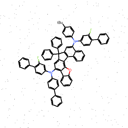 CC(C)(C)c1ccc(N(c2ccc(-c3ccccc3)c(F)c2)c2cc3c(c4ccccc24)-c2c(cc(N(c4ccc(-c5ccccc5)cc4)c4ccc(-c5ccccc5)c(F)c4)c4c2oc2ccccc24)C3(c2ccccc2)c2ccccc2)cc1